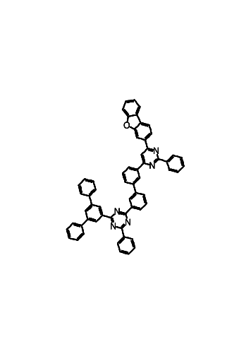 c1ccc(-c2cc(-c3ccccc3)cc(-c3nc(-c4ccccc4)nc(-c4cccc(-c5cccc(-c6cc(-c7ccc8c(c7)oc7ccccc78)nc(-c7ccccc7)n6)c5)c4)n3)c2)cc1